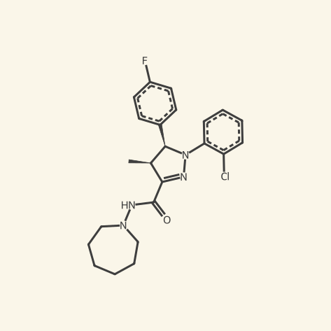 C[C@@H]1C(C(=O)NN2CCCCCC2)=NN(c2ccccc2Cl)[C@@H]1c1ccc(F)cc1